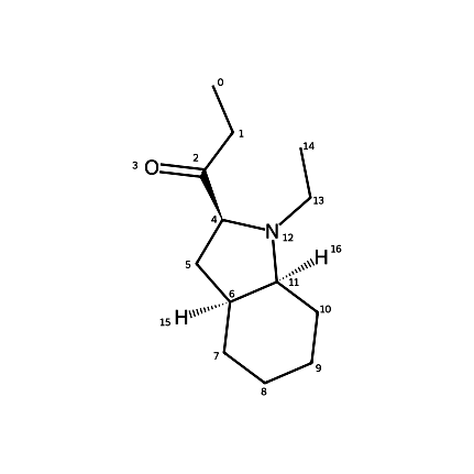 CCC(=O)[C@@H]1C[C@@H]2CCCC[C@@H]2N1CC